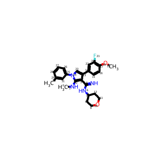 CNc1c(C(=N)NC2CCOCC2)c(-c2ccc(OC)c(F)c2)cn1-c1cccc(C)c1